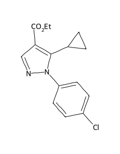 CCOC(=O)c1cnn(-c2ccc(Cl)cc2)c1C1CC1